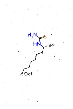 CCCCCCCCCCCCCCC(CCC)NC(N)=S